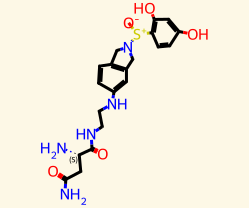 NC(=O)C[C@H](N)C(=O)NCCNc1ccc2c(c1)CN([S+]([O-])c1ccc(O)cc1O)C2